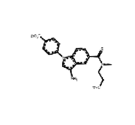 CCOC(=O)c1ccc(-n2cc(N)c3cc(C(=O)N(C)CCOC)ccc32)cc1